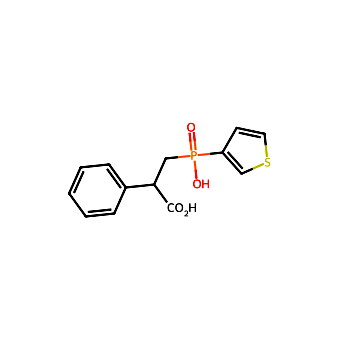 O=C(O)C(CP(=O)(O)c1ccsc1)c1ccccc1